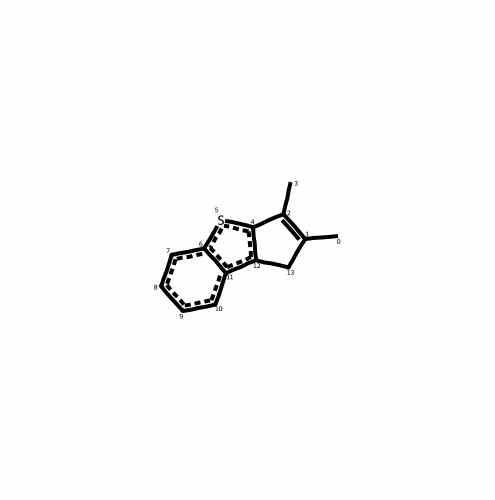 CC1=C(C)c2sc3ccccc3c2C1